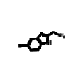 NCc1cc2cc(Br)ccc2[nH]1